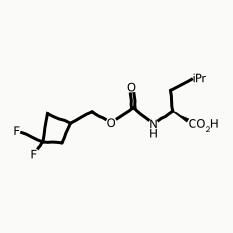 CC(C)C[C@H](NC(=O)OCC1CC(F)(F)C1)C(=O)O